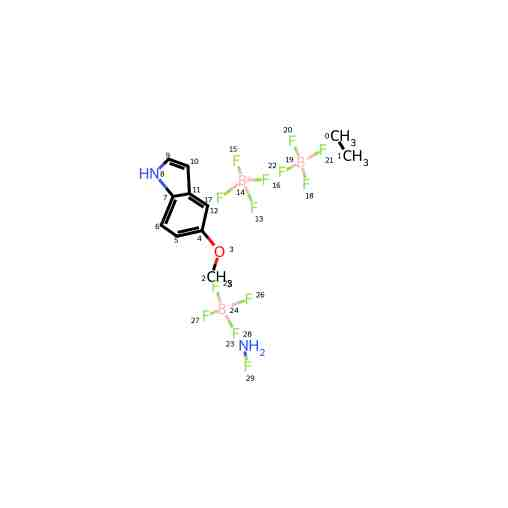 CC.COc1ccc2[nH]ccc2c1.F[B-](F)(F)F.F[B-](F)(F)F.F[B-](F)(F)F.NF